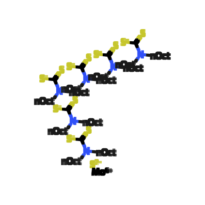 CCCCCCCCN(CCCCCCCC)C(=S)[S-].CCCCCCCCN(CCCCCCCC)C(=S)[S-].CCCCCCCCN(CCCCCCCC)C(=S)[S-].CCCCCCCCN(CCCCCCCC)C(=S)[S-].CCCCCCCCN(CCCCCCCC)C(=S)[S-].CCCCCCCCN(CCCCCCCC)C(=S)[S-].[Mo+6].[S-2]